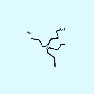 CCC[N+](CCC)(CCC)CCCO.[OH-]